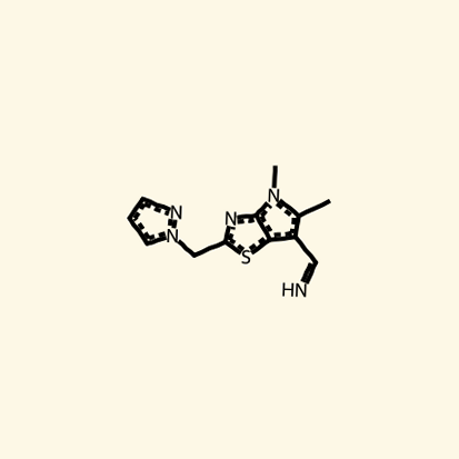 Cc1c(C=N)c2sc(Cn3cccn3)nc2n1C